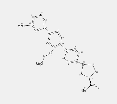 COCOc1cc(-c2cnnc(OC)c2)ccc1-c1ccc(N2CC[C@@H](N(C)C(C)(C)C)C2)nn1